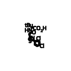 CC(C)(C)C(NC(=O)Cc1csc(-c2ccc(Cl)cc2Cl)n1)C(=O)O